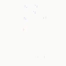 CCCc1c(Cc2ccc(-c3ccccc3C(=O)O)cc2)c(O)nc2ncnn12